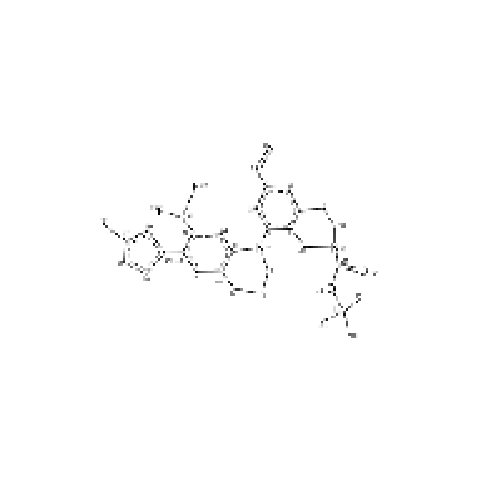 C=Cc1cc2c(c(N3CCCc4cc(-c5ccn(C)c5)c(C(F)F)cc43)c1)CN(C(=O)OC(C)(C)C)CC2